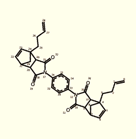 C=CCCC12C=CC(C1)C1C(=O)N(c3ccc(N4C(=O)C5C6C=CC(CCC=C)(C6)C5C4=O)cc3)C(=O)C12